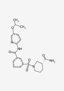 CC(C)Oc1ccc(NC(=O)c2cccc(S(=O)(=O)N3CCC[C@@H](C(N)=O)C3)c2)nc1